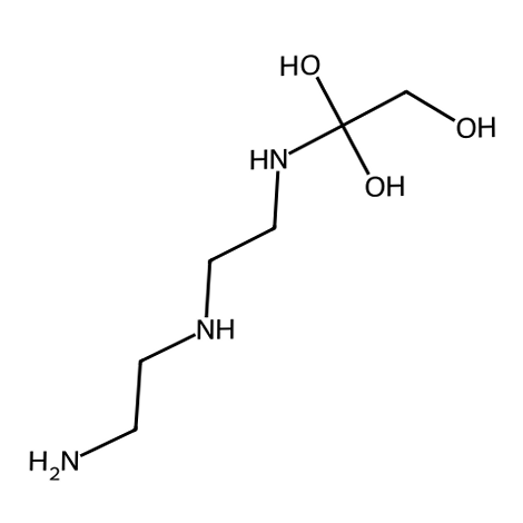 NCCNCCNC(O)(O)CO